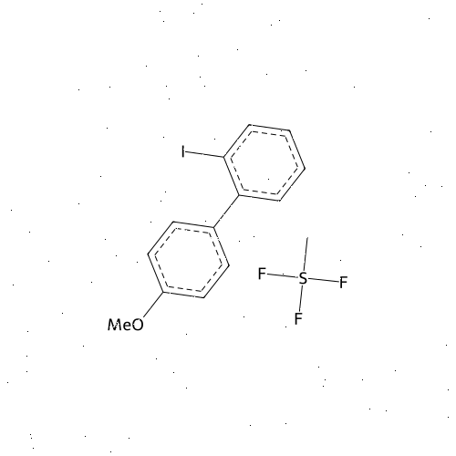 COc1ccc(-c2ccccc2I)cc1.CS(F)(F)F